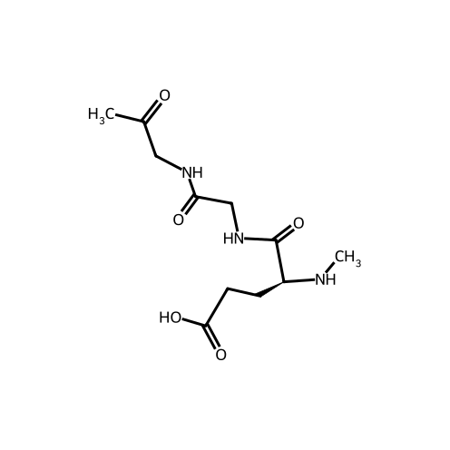 CN[C@@H](CCC(=O)O)C(=O)NCC(=O)NCC(C)=O